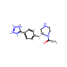 CC(=O)N1CCNC[C@H]1Cc1ccc(-c2nnn[nH]2)cc1